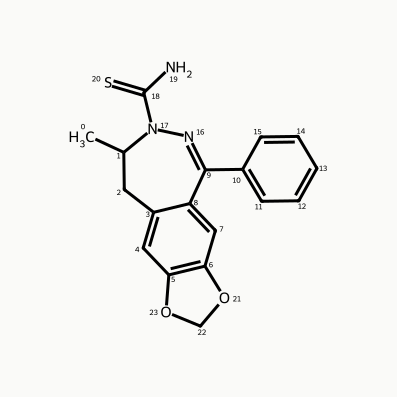 CC1Cc2cc3c(cc2C(c2ccccc2)=NN1C(N)=S)OCO3